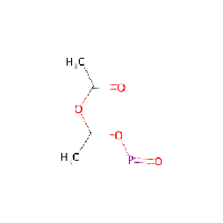 CC(=O)OC(C)OP=O